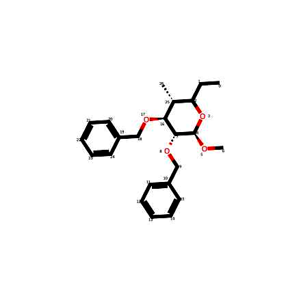 CCC1O[C@@H](OC)[C@H](OCc2ccccc2)[C@@H](OCc2ccccc2)[C@@H]1C